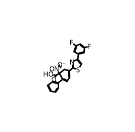 O=C(O)C1([N+](=O)[O-])CC(c2nc(-c3cc(F)cc(F)c3)cs2)=CC=C1c1ccccc1